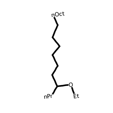 CC[CH]CCCCCCCCCCCC(CCC)OCC